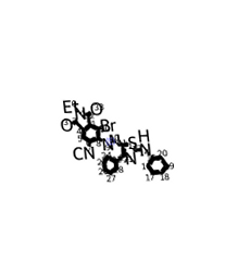 CCN1C(=O)c2cc(C#N)c(/N=N/c3sc(Nc4ccccc4)nc3-c3ccccc3)c(Br)c2C1=O